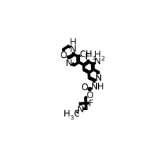 Cc1c(-c2cc3cc(NC(=O)OCC4(F)CN(C)C4)ncc3c(N)c2F)cnc2c1NCCO2